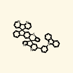 c1cc(-c2cnc3c(c2)C2(c4ccccc4Sc4cc5c(cc42)-c2ccccc2C52c4cccnc4-c4ncccc42)c2cccnc2-3)cc(-n2c3ccccc3c3ccccc32)c1